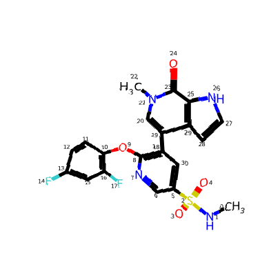 CNS(=O)(=O)c1cnc(Oc2ccc(F)cc2F)c(-c2cn(C)c(=O)c3[nH]ccc23)c1